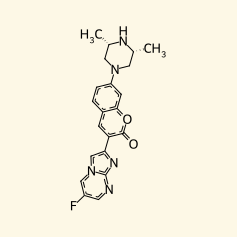 C[C@@H]1CN(c2ccc3cc(-c4cn5cc(F)cnc5n4)c(=O)oc3c2)C[C@H](C)N1